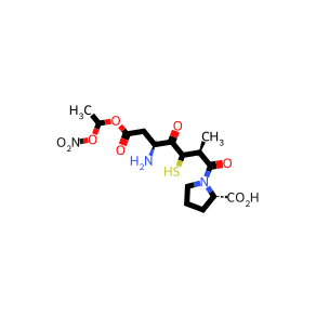 CC(OC(=O)C[C@H](N)C(=O)C(S)[C@@H](C)C(=O)N1CCC[C@H]1C(=O)O)O[N+](=O)[O-]